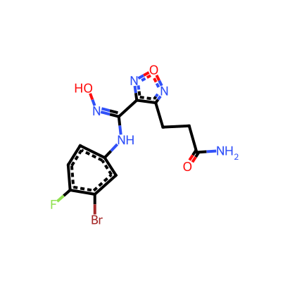 NC(=O)CCc1nonc1/C(=N\O)Nc1ccc(F)c(Br)c1